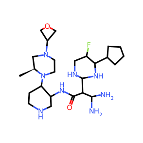 C[C@H]1CN(C2COC2)CCN1C1CCNCC1NC(=O)C(C(N)N)C1NCC(F)C(C2CCCC2)N1